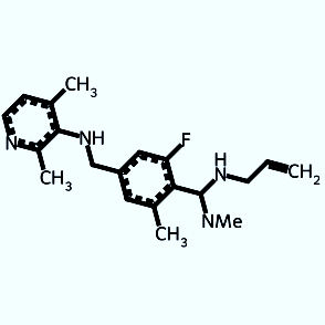 C=CCNC(NC)c1c(C)cc(CNc2c(C)ccnc2C)cc1F